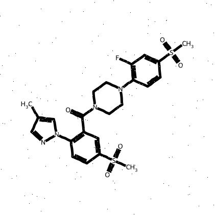 Cc1cnn(-c2ccc(S(C)(=O)=O)cc2C(=O)N2CCN(c3ccc(S(C)(=O)=O)cc3F)CC2)c1